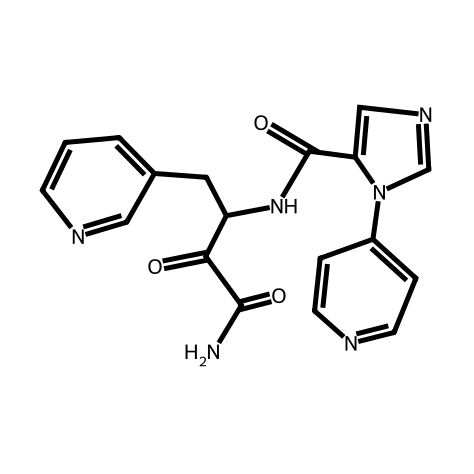 NC(=O)C(=O)C(Cc1cccnc1)NC(=O)c1cncn1-c1ccncc1